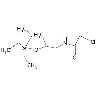 CC[Si](CC)(CC)OC(C)CNC(=O)CCl